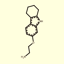 NCCOc1ccc2c3c([nH]c2c1)CCCC3